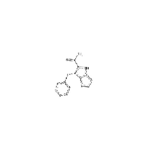 NC(=O)c1[nH]c2ccsc2c1Sc1ccccn1